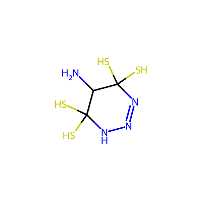 NC1C(S)(S)N=NNC1(S)S